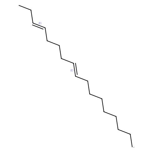 [CH2]CCCCCCC/C=C/CCC/C=C/CC